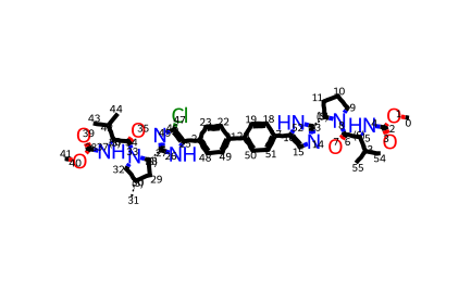 COC(=O)N[C@H](C(=O)N1CCC[C@H]1c1ncc(-c2ccc(-c3ccc(-c4[nH]c([C@@H]5C[C@H](C)CN5C(=O)[C@@H](NC(=O)OC)C(C)C)nc4Cl)cc3)cc2)[nH]1)C(C)C